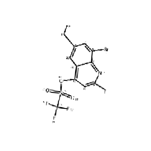 CCc1cc(Br)c2nc(C)cc(OS(=O)(=O)C(F)(F)F)c2c1